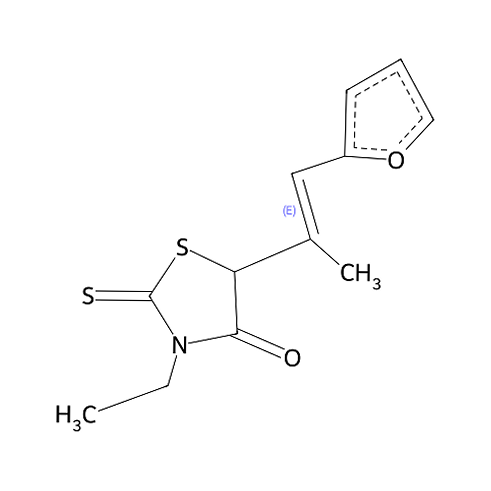 CCN1C(=O)C(/C(C)=C/c2ccco2)SC1=S